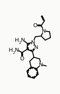 C=CC(=O)N1CCCC1Cn1nc(C2Cc3ccccc3N(C)C2)c(C(N)=O)c1N